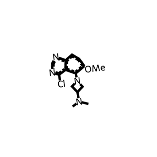 COc1ccc2ncnc(Cl)c2c1N1CC(N(C)C)C1